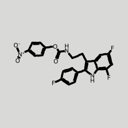 O=C(NCCc1c(-c2ccc(F)cc2)[nH]c2c(F)cc(F)cc12)Oc1ccc([N+](=O)[O-])cc1